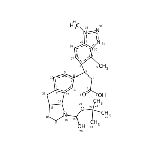 Cc1c(C(CC(=O)O)c2ccc3c(c2)C2C(CCN2C(O)OC(C)(C)C)C3)ccc2c1nnn2C